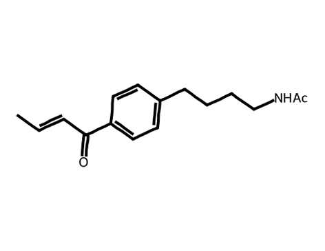 C/C=C/C(=O)c1ccc(CCCCNC(C)=O)cc1